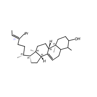 C/C=C(/CC[C@@H](C)[C@H]1CC[C@H]2C3=CCC4C(C)C(O)CC[C@]4(C)[C@H]3CC[C@]12C)C(C)C